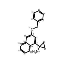 NC1(c2cc(OCc3ccccc3)cc3ncccc23)CC1